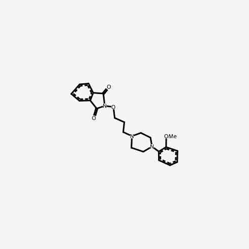 COc1ccccc1N1CCN(CCCON2C(=O)c3ccccc3C2=O)CC1